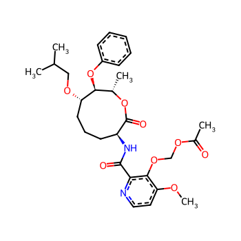 COc1ccnc(C(=O)N[C@H]2CCC[C@H](OCC(C)C)[C@@H](Oc3ccccc3)[C@H](C)OC2=O)c1OCOC(C)=O